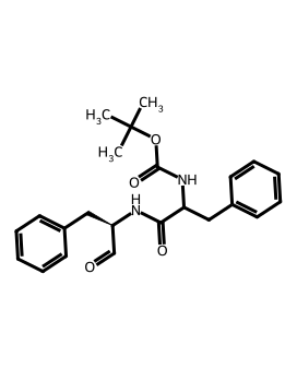 CC(C)(C)OC(=O)NC(Cc1ccccc1)C(=O)N[C@@H](C=O)Cc1ccccc1